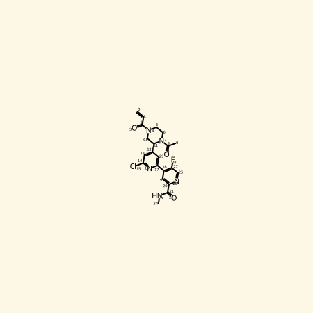 C=CC(=O)N1CCN(C(C)=O)[C@@H](c2cc(Cl)nc(-c3cc(C(=O)NC)ncc3F)c2)C1